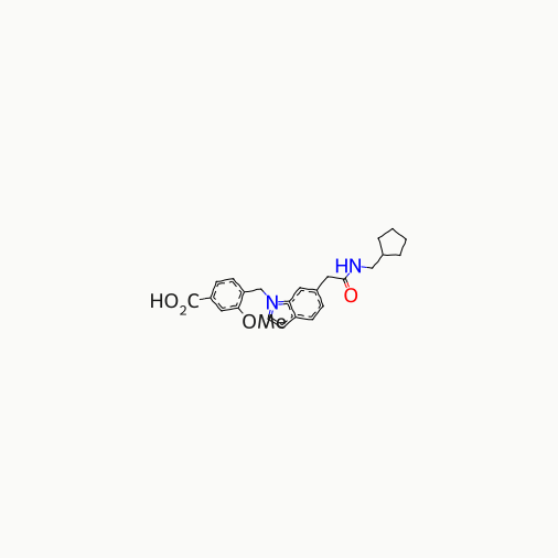 COc1cc(C(=O)O)ccc1Cn1ccc2ccc(CC(=O)NCC3CCCC3)cc21